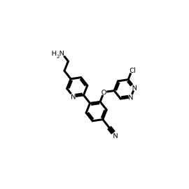 N#Cc1ccc(-c2ccc(CCN)cn2)c(Oc2cnnc(Cl)c2)c1